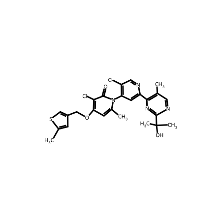 Cc1cc(COc2cc(C)n(-c3cc(-c4nc(C(C)(C)O)ncc4C)ncc3Cl)c(=O)c2Cl)cs1